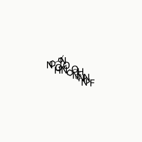 Cc1cc(-c2ccncc2)c(C(=O)C(=O)Nc2ccc3c(c2)OC[C@@H]2CN(c4ncc(F)cn4)CCN32)n1C